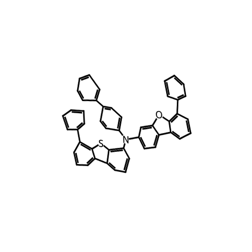 c1ccc(-c2ccc(N(c3ccc4c(c3)oc3c(-c5ccccc5)cccc34)c3cccc4c3sc3c(-c5ccccc5)cccc34)cc2)cc1